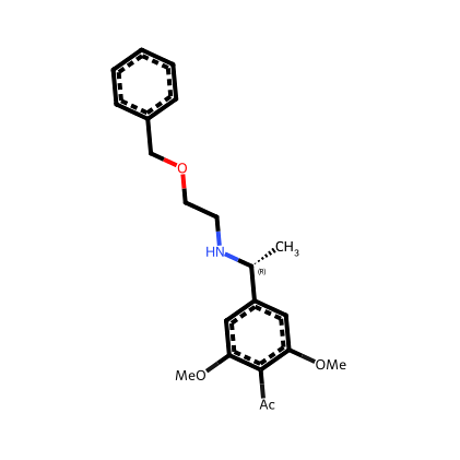 COc1cc([C@@H](C)NCCOCc2ccccc2)cc(OC)c1C(C)=O